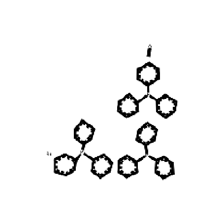 C=O.[Ru].c1ccc(P(c2ccccc2)c2ccccc2)cc1.c1ccc(P(c2ccccc2)c2ccccc2)cc1.c1ccc(P(c2ccccc2)c2ccccc2)cc1